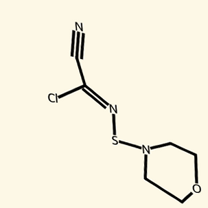 N#CC(Cl)=NSN1CCOCC1